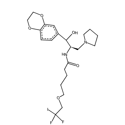 O=C(CCCCOCC(F)(F)I)N[C@H](CN1CCCC1)C(O)c1ccc2c(c1)OCCO2